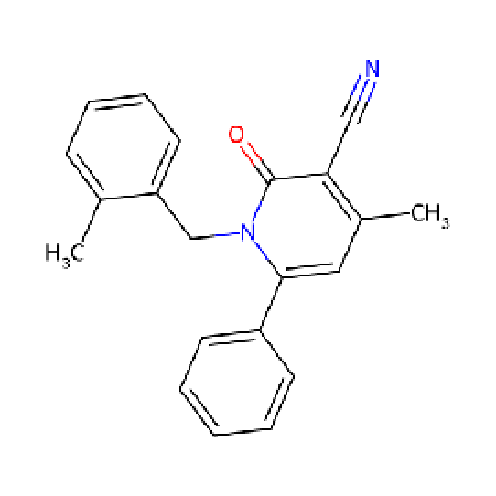 Cc1ccccc1Cn1c(-c2ccccc2)cc(C)c(C#N)c1=O